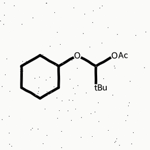 CC(=O)OC(OC1CCCCC1)C(C)(C)C